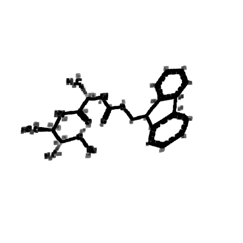 C[C@H](NC(=O)OCC1c2ccccc2-c2ccccc21)C(=O)N[C@H](C(=O)O)[C@@H](C)OC(C)(C)C